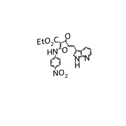 CCOC(=O)C1=C(Nc2ccc([N+](=O)[O-])cc2)OC(=Cc2c[nH]c3ncccc23)C1=O